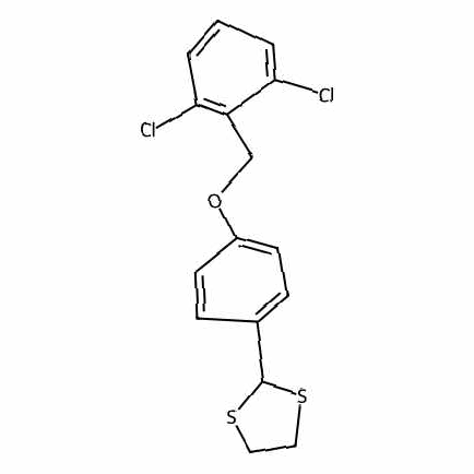 Clc1cccc(Cl)c1COc1ccc(C2SCCS2)cc1